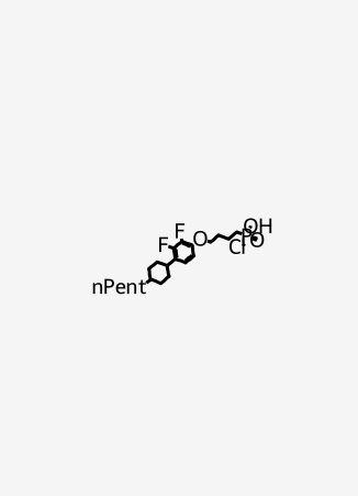 CCCCCC1CCC(c2ccc(OCCCCP(=O)(O)Cl)c(F)c2F)CC1